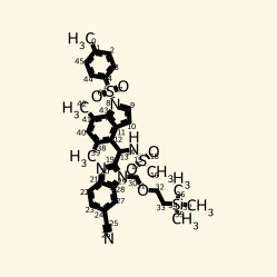 Cc1ccc(S(=O)(=O)n2ccc3c(C(NS(C)(=O)=O)c4nc5ccc(C#N)cc5n4COCC[Si](C)(C)C)c(C)cc(C)c32)cc1